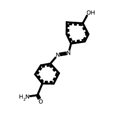 NC(=O)c1ccc(N=Nc2ccc(O)cc2)cc1